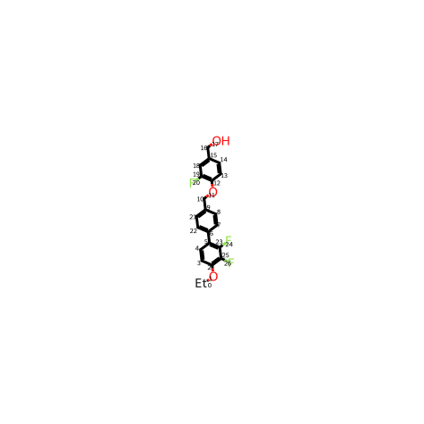 CCOc1ccc(-c2ccc(COc3ccc(CO)cc3F)cc2)c(F)c1F